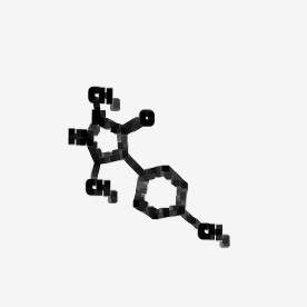 Cc1ccc(-c2c(C)[nH]n(C)c2=O)cc1